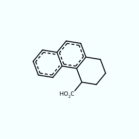 O=C(O)C1CCCc2ccc3ccccc3c21